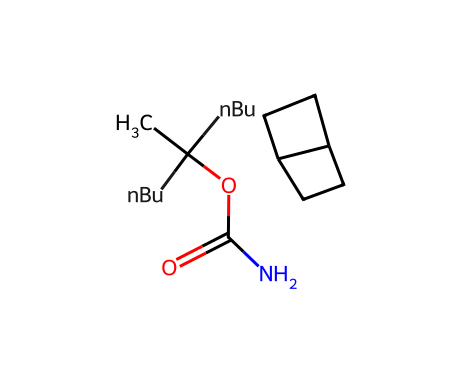 C1CC2CCC12.CCCCC(C)(CCCC)OC(N)=O